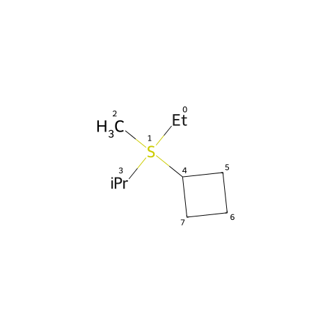 CCS(C)(C(C)C)C1CCC1